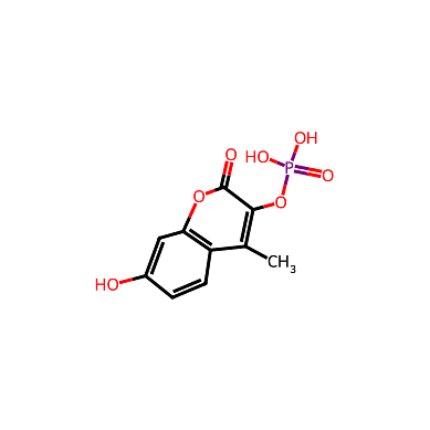 Cc1c(OP(=O)(O)O)c(=O)oc2cc(O)ccc12